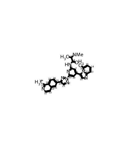 CNC(C)C(=O)Nc1cc(-c2cnc3cccc(C)n23)cc(-n2ncc(-c3ccc4c(C)nccc4c3)n2)n1